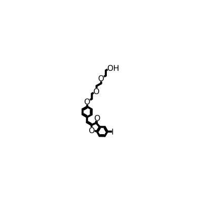 O=C1C(=Cc2ccc(OCCOCCOCCO)cc2)Oc2ccc(I)cc21